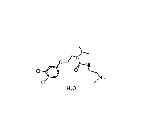 CC(C)N(CCOc1ccc(Cl)c(Cl)c1)C(=O)NCCN(C)C.O